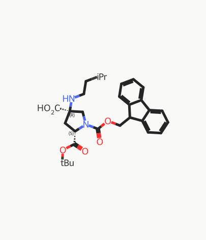 CC(C)CCN[C@]1(C(=O)O)C[C@@H](C(=O)OC(C)(C)C)N(C(=O)OCC2c3ccccc3-c3ccccc32)C1